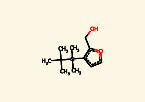 CC(C)(C)[Si](C)(C)c1ccoc1CO